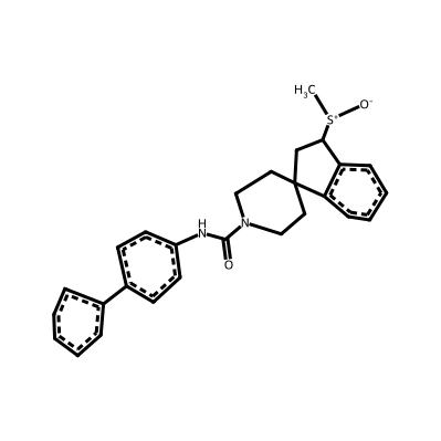 C[S+]([O-])C1CC2(CCN(C(=O)Nc3ccc(-c4ccccc4)cc3)CC2)c2ccccc21